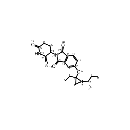 CC[C@H](C)N1CC1(CC)Oc1ccc2c(c1)C(=O)N(C1CCC(=O)NC1=O)C2=O